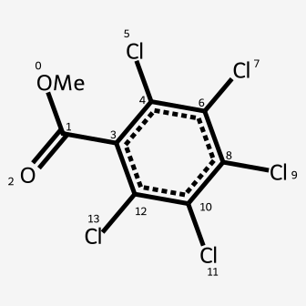 COC(=O)c1c(Cl)c(Cl)c(Cl)c(Cl)c1Cl